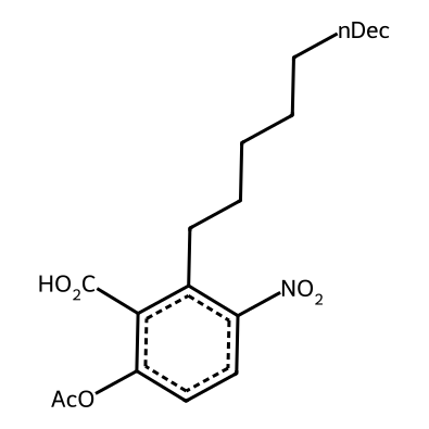 CCCCCCCCCCCCCCCc1c([N+](=O)[O-])ccc(OC(C)=O)c1C(=O)O